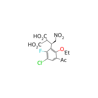 CCOc1c(C(C)=O)cc(Cl)c(F)c1[C@H](C[N+](=O)[O-])C(C(=O)O)C(=O)O